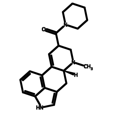 CN1CC(C(=O)N2CCCCC2)C=C2c3cccc4[nH]cc(c34)C[C@H]21